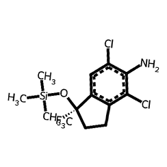 C[Si](C)(C)O[C@]1(C(F)(F)F)CCc2c1cc(Cl)c(N)c2Cl